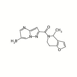 Bc1cnc2cc(C(=O)N3CCc4occc4C3C)nn2c1